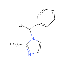 CCC(c1ccccc1)n1ccnc1C(=O)O